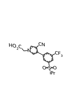 CC(C)S(=O)(=O)c1cc(-c2cn(CC(=O)O)cc2C#N)cc(C(F)(F)F)c1